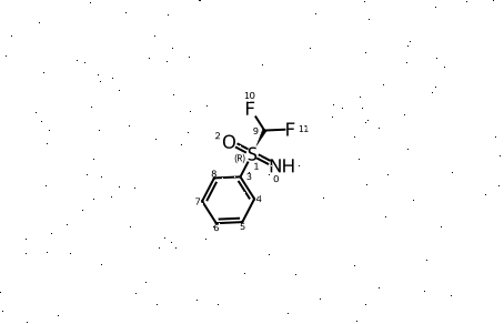 N=[S@@](=O)(c1ccccc1)C(F)F